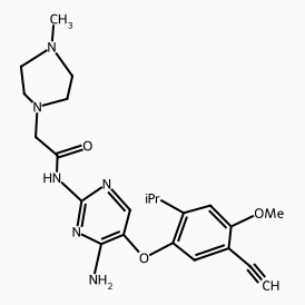 C#Cc1cc(Oc2cnc(NC(=O)CN3CCN(C)CC3)nc2N)c(C(C)C)cc1OC